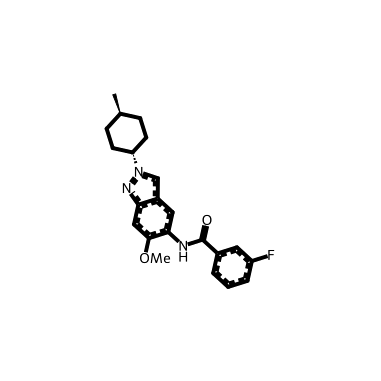 COc1cc2nn([C@H]3CC[C@H](C)CC3)cc2cc1NC(=O)c1cccc(F)c1